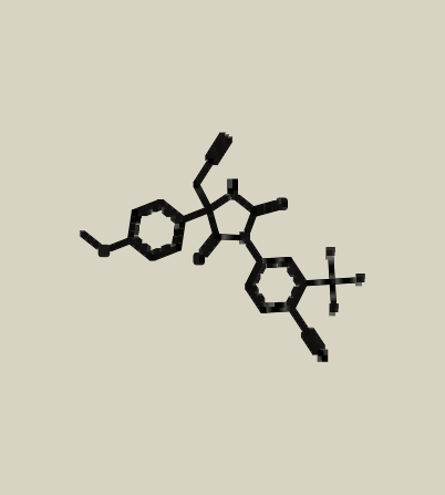 C#CCC1(c2ccc(OC)cc2)NC(=O)N(c2ccc(C#N)c(C(F)(F)F)c2)C1=O